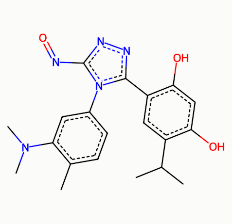 Cc1ccc(-n2c(N=O)nnc2-c2cc(C(C)C)c(O)cc2O)cc1N(C)C